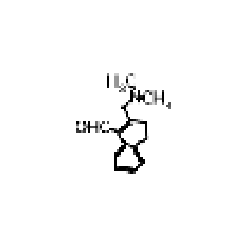 CN(C)CC1=C(C=O)c2ccccc2CC1